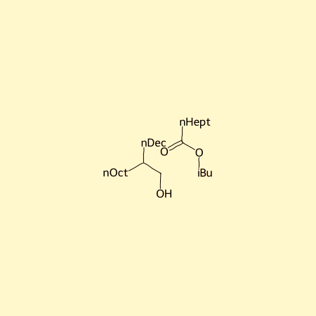 CCCCCCCC(=O)OC(C)CC.CCCCCCCCCCC(CO)CCCCCCCC